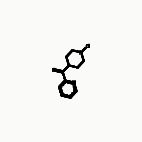 O=C(c1ccccn1)C1CCN(Cl)CC1